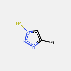 CCc1cn(S)nn1